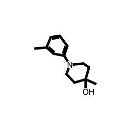 Cc1cccc(N2CCC(C)(O)CC2)c1